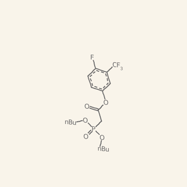 CCCCOP(=O)(CC(=O)Oc1ccc(F)c(C(F)(F)F)c1)OCCCC